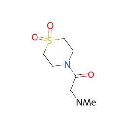 CNCC(=O)N1CCS(=O)(=O)CC1